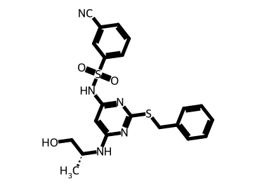 C[C@H](CO)Nc1cc(NS(=O)(=O)c2cccc(C#N)c2)nc(SCc2ccccc2)n1